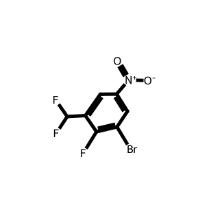 O=[N+]([O-])c1cc(Br)c(F)c(C(F)F)c1